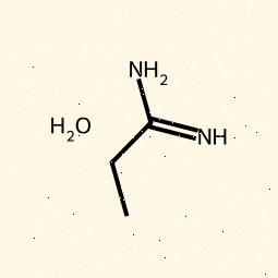 CCC(=N)N.O